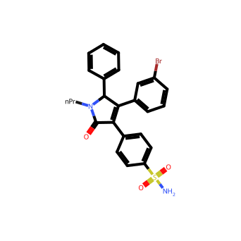 CCCN1C(=O)C(c2ccc(S(N)(=O)=O)cc2)=C(c2cccc(Br)c2)C1c1ccccc1